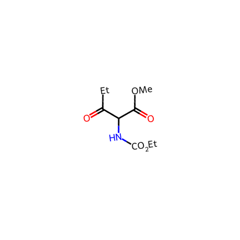 CCOC(=O)NC(C(=O)CC)C(=O)OC